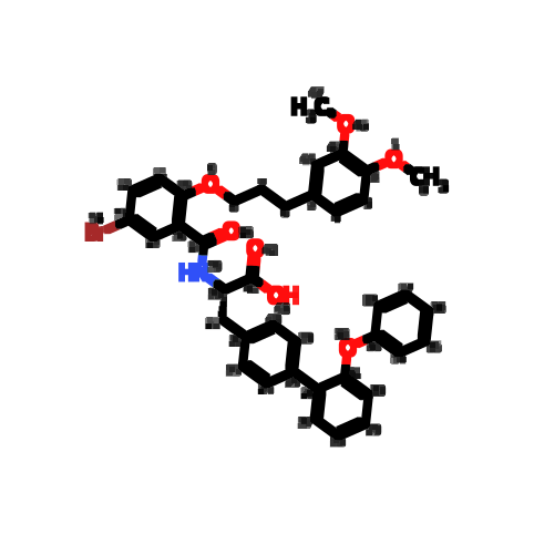 COc1ccc(CCCOc2ccc(Br)cc2C(=O)N[C@@H](Cc2ccc(-c3ccccc3Oc3ccccc3)cc2)C(=O)O)cc1OC